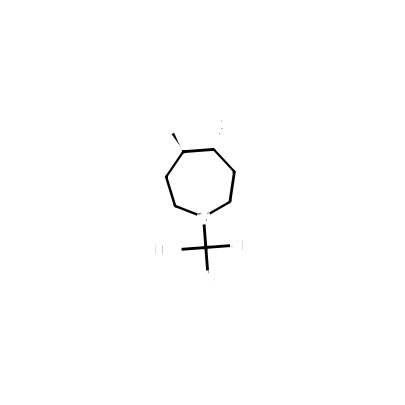 C[C@@H]1CCN(C(C)(C)C)CC[C@H]1C